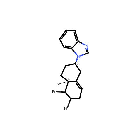 CC(C)C1CC=C2C[C@H](n3cnc4ccccc43)CC[C@]2(C)C1C(C)C